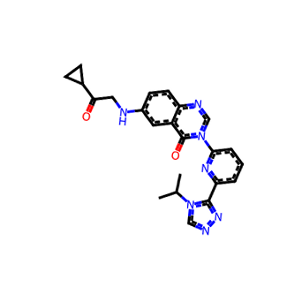 CC(C)n1cnnc1-c1cccc(-n2cnc3ccc(NCC(=O)C4CC4)cc3c2=O)n1